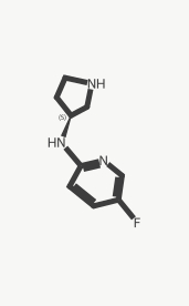 Fc1ccc(N[C@H]2CCNC2)nc1